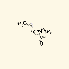 C=C/C=C\c1ncc(NC=O)n1C=C